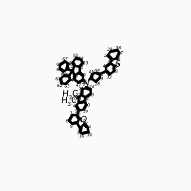 CC1(C)c2cc(-c3cccc4c3oc3ccccc34)ccc2-c2ccc(N(c3ccc(-c4ccc5sc6ccccc6c5c4)cc3)c3ccc4c(c3)-c3ccccc3C4(c3ccccc3)c3ccccc3)cc21